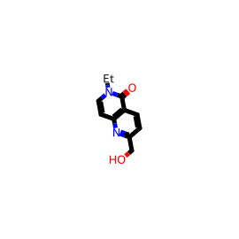 CCn1ccc2nc(CO)ccc2c1=O